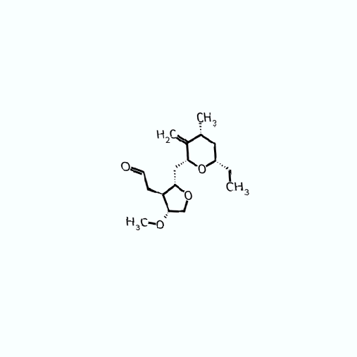 C=C1[C@H](C)C[C@H](CC)O[C@@H]1C[C@@H]1OC[C@H](OC)[C@H]1CC=O